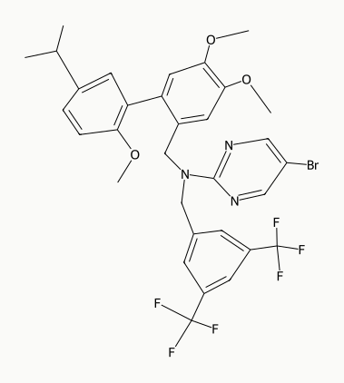 COc1cc(CN(Cc2cc(C(F)(F)F)cc(C(F)(F)F)c2)c2ncc(Br)cn2)c(-c2cc(C(C)C)ccc2OC)cc1OC